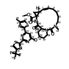 COC(=O)[C@@]12C[C@H]1C=CCCCCN(C)C(=O)N1CC[C@H](Oc3cc(-c4nc(C)cs4)nc(-c4nc(C(F)(F)F)cs4)n3)C[C@H]1C(=O)N2